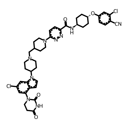 N#Cc1ccc(O[C@H]2CC[C@H](NC(=O)c3ccc(N4CCC(CN5CCC(n6ccc7c(N8CCC(=O)NC8=O)cc(Cl)cc76)CC5)CC4)nn3)CC2)cc1Cl